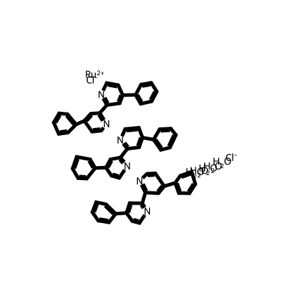 O.O.O.O.O.[Cl-].[Cl-].[Ru+2].c1ccc(-c2ccnc(-c3cc(-c4ccccc4)ccn3)c2)cc1.c1ccc(-c2ccnc(-c3cc(-c4ccccc4)ccn3)c2)cc1.c1ccc(-c2ccnc(-c3cc(-c4ccccc4)ccn3)c2)cc1